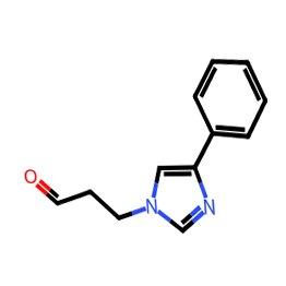 O=CCCn1cnc(-c2ccccc2)c1